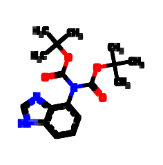 CC(C)(C)OC(=O)N(C(=O)OC(C)(C)C)c1cccc2[nH]cnc12